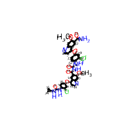 COc1cc2nccc(Oc3ccc(NC(=O)NC(=O)c4cc5c(Oc6ccc(NC(=O)NC7CC7)c(Cl)c6)ccnc5cc4OC)c(Cl)c3)c2cc1C(N)=O